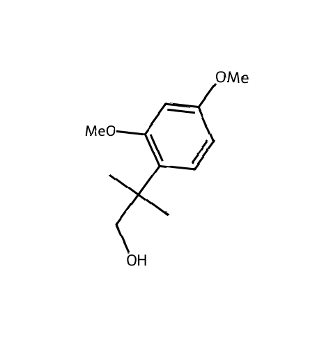 COc1ccc(C(C)(C)CO)c(OC)c1